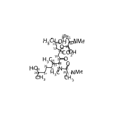 CN[C@H](C)C(=O)N(C)[C@@H](C(=O)CC(CC(C)O)(OC(=O)[C@H](NC)C(C)C)C(=O)O)[C@H](C)CCCC(C)O